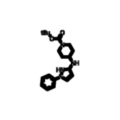 CC(C)(C)OC(=O)N1CCC(NC2C=CN(c3ccccc3)N2)CC1